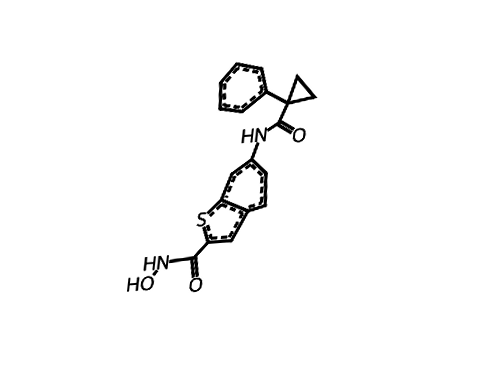 O=C(NO)c1cc2ccc(NC(=O)C3(c4ccccc4)CC3)cc2s1